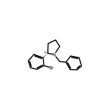 Brc1ccccc1[C@@H]1CCCN1Cc1ccccc1